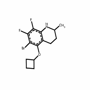 CC1CCc2c(c(F)c(F)c(Br)c2OC2CCC2)N1